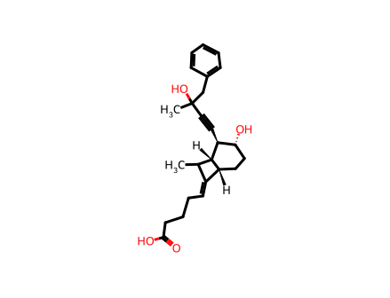 CC1C(=CCCCC(=O)O)[C@H]2CC[C@@H](O)[C@H](C#CC(C)(O)Cc3ccccc3)[C@@H]12